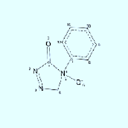 O=C1N=NC[N+]1([O-])c1ccccc1